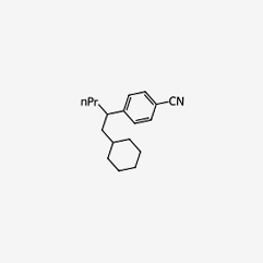 CCCC(CC1CCCCC1)c1ccc(C#N)cc1